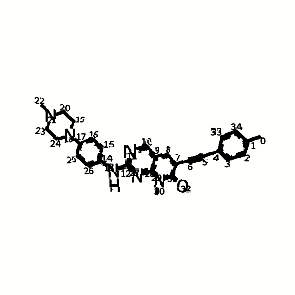 Cc1ccc(C#Cc2cc3cnc(Nc4ccc(N5CCN(C)CC5)cc4)nc3n(C)c2=O)cc1